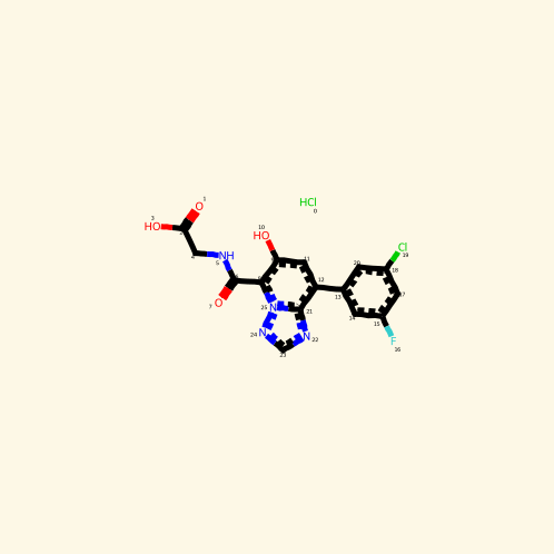 Cl.O=C(O)CNC(=O)c1c(O)cc(-c2cc(F)cc(Cl)c2)c2ncnn12